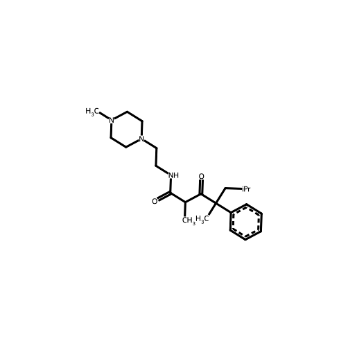 CC(C)CC(C)(C(=O)C(C)C(=O)NCCN1CCN(C)CC1)c1ccccc1